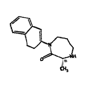 C[C@H]1NCCCN(C2=Cc3ccccc3CC2)C1=O